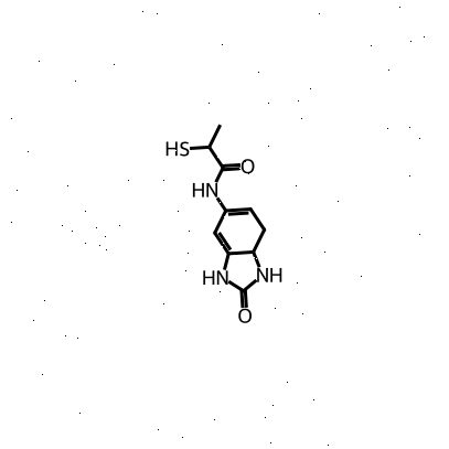 CC(S)C(=O)NC1=CCC2NC(=O)NC2=C1